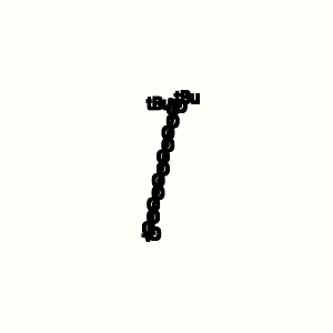 C=C(C)C(=O)OCCOCCOCCOCCOCCOCCOCCOCCOCCOCCOC(=O)C(CC(C)(C)C)C(C)(C)C